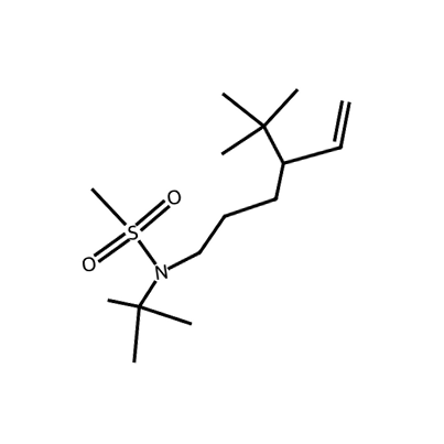 C=CC(CCCN(C(C)(C)C)S(C)(=O)=O)C(C)(C)C